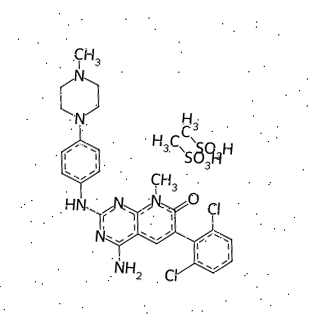 CN1CCN(c2ccc(Nc3nc(N)c4cc(-c5c(Cl)cccc5Cl)c(=O)n(C)c4n3)cc2)CC1.CS(=O)(=O)O.CS(=O)(=O)O